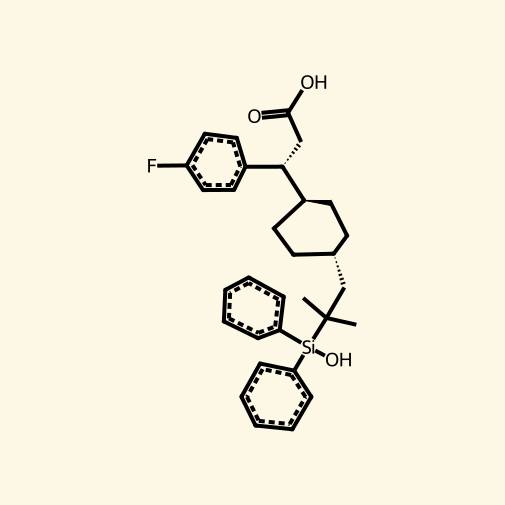 CC(C)(C[C@H]1CC[C@H]([C@@H](CC(=O)O)c2ccc(F)cc2)CC1)[Si](O)(c1ccccc1)c1ccccc1